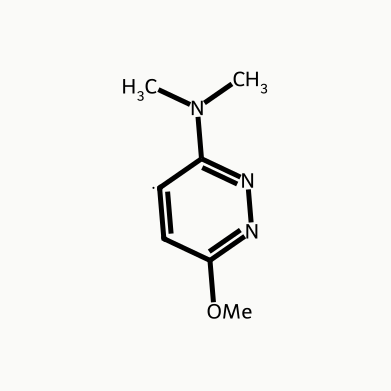 COc1c[c]c(N(C)C)nn1